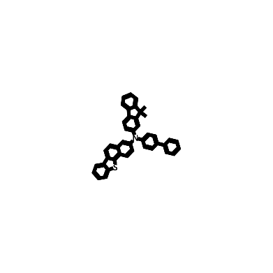 CC1(C)c2ccccc2-c2ccc(N(c3ccc(-c4ccccc4)cc3)c3ccc4c(ccc5c6ccccc6sc45)c3)cc21